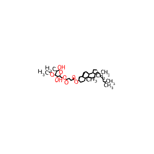 CCO[C@@H]1C(C)C(O)OC(COC(=O)CCC(=O)O[C@H]2CC[C@@]3(C)C(=CCC4C3CC[C@@]3(C)C4CC[C@@H]3[C@H](C)CCCC(C)C)C2)[C@H]1O